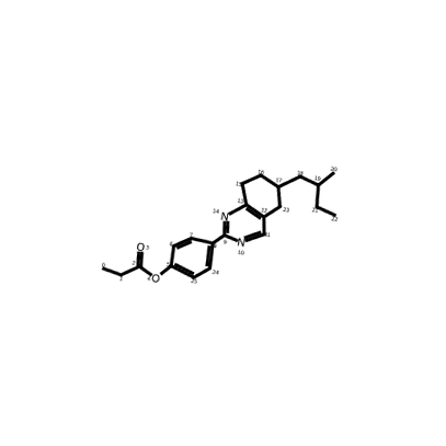 CCC(=O)Oc1ccc(-c2ncc3c(n2)CCC(CC(C)CC)C3)cc1